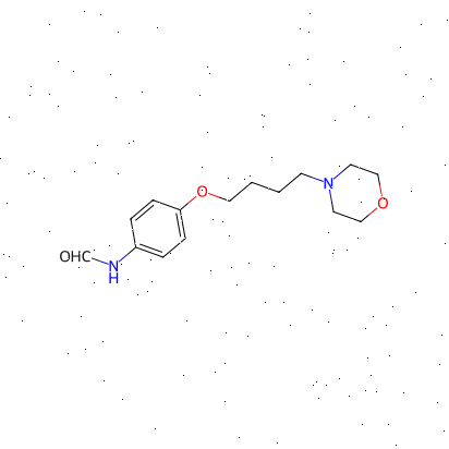 O=CNc1ccc(OCCCCN2CCOCC2)cc1